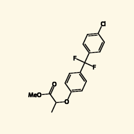 COC(=O)C(C)Oc1ccc(C(F)(F)c2ccc(Cl)cc2)cc1